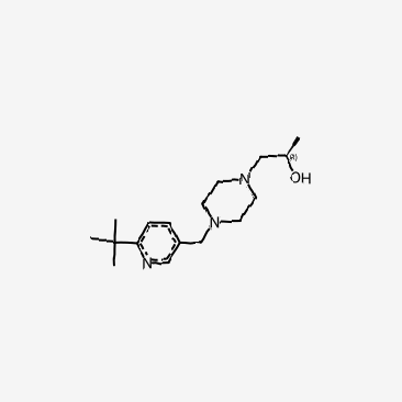 C[C@@H](O)CN1CCN(Cc2ccc(C(C)(C)C)nc2)CC1